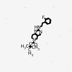 CC(C)(C)OC(=O)N1CCc2nc(NCCc3ccccc3F)ncc2C1